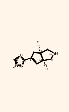 C1=C(c2nncs2)C[C@H]2CNC[C@@H]12